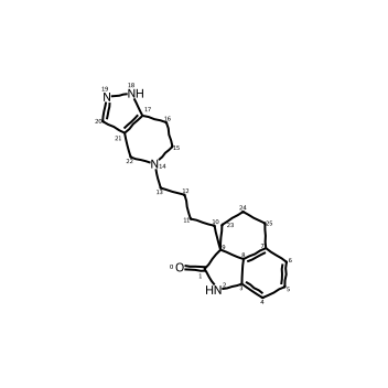 O=C1Nc2cccc3c2C1(CCCCN1CCc2[nH]ncc2C1)CCC3